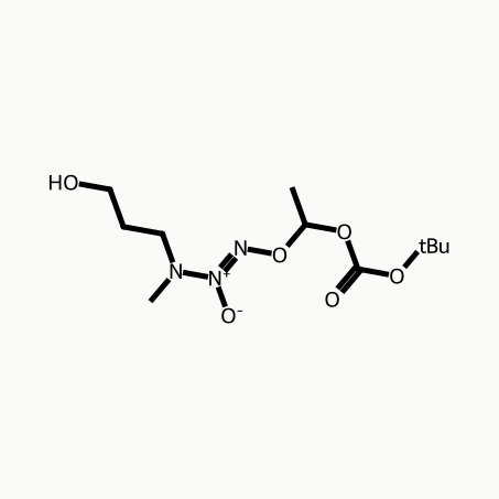 CC(ON=[N+]([O-])N(C)CCCO)OC(=O)OC(C)(C)C